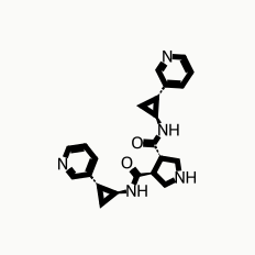 O=C(N[C@H]1C[C@@H]1c1cccnc1)[C@@H]1CNC[C@H]1C(=O)N[C@H]1C[C@@H]1c1cccnc1